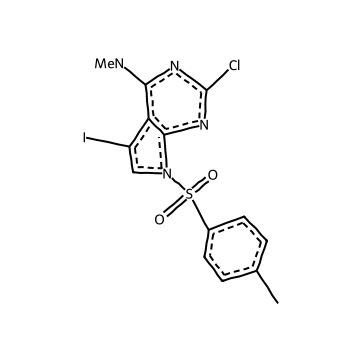 CNc1nc(Cl)nc2c1c(I)cn2S(=O)(=O)c1ccc(C)cc1